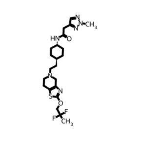 Cn1ncc(CC(=O)N[C@H]2CC[C@H](CCN3CCc4sc(OCC(C)(F)F)nc4C3)CC2)n1